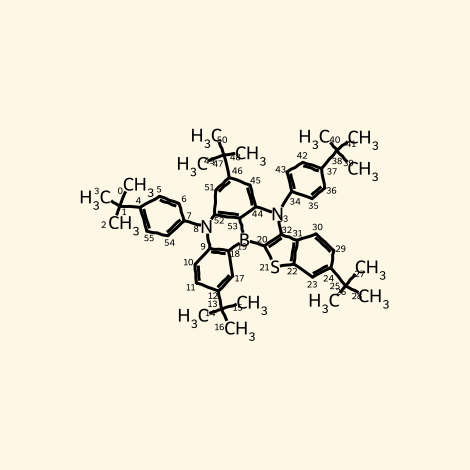 CC(C)(C)c1ccc(N2c3ccc(C(C)(C)C)cc3B3c4sc5cc(C(C)(C)C)ccc5c4N(c4ccc(C(C)(C)C)cc4)c4cc(C(C)(C)C)cc2c43)cc1